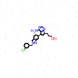 Nc1ncnn2c(CCCO)cc(-c3ccc4cn(Cc5cccc(Cl)c5)nc4c3)c12